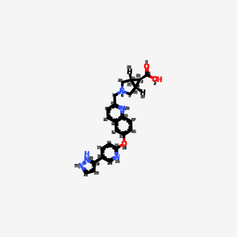 O=C(O)[C@H]1[C@@H]2CN(Cc3ccc4cc(Oc5ccc(-c6ccn[nH]6)cn5)ccc4n3)C[C@@H]21